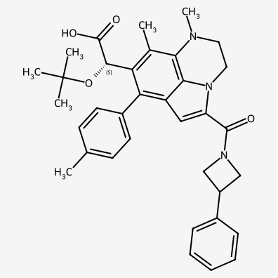 Cc1ccc(-c2c([C@H](OC(C)(C)C)C(=O)O)c(C)c3c4c2cc(C(=O)N2CC(c5ccccc5)C2)n4CCN3C)cc1